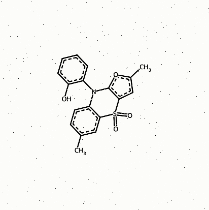 Cc1ccc2c(c1)S(=O)(=O)c1cc(C)oc1N2c1ccccc1O